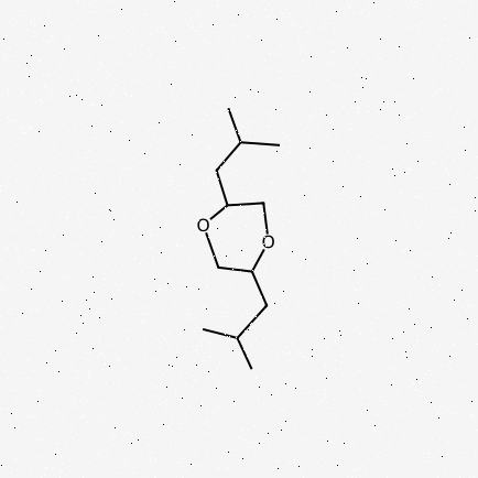 CC(C)CC1COC(CC(C)C)CO1